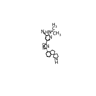 CC(C)Nc1ncc(-c2nc(-c3cccc4c3CCC43CCNC3)no2)cc1C#N